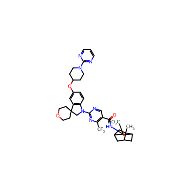 CC12CC3CC1CC2CC3(NC(=O)c1cnc(N2CC3(CCOCC3)c3cc(OC4CCN(c5ncccn5)CC4)ccc32)nc1C(F)(F)F)C(=O)O